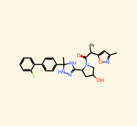 Cc1cc(C(C(=O)N2CC(O)CC2C2=NNC(C)(c3ccc(-c4ccccc4F)cc3)N2)C(C)C)on1